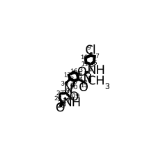 CN(C(=O)Nc1ccc(Cl)cc1)C(=O)c1cccc2c1CN(C1CCC(=O)NC1=O)C2